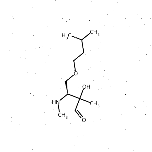 CN[C@@H](COCCC(C)C)C(C)(O)C=O